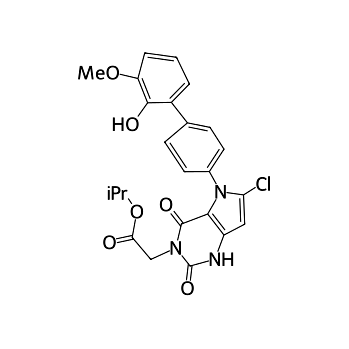 COc1cccc(-c2ccc(-n3c(Cl)cc4[nH]c(=O)n(CC(=O)OC(C)C)c(=O)c43)cc2)c1O